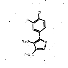 CCOC(=O)c1csc(-c2ccc(Cl)c(Cl)c2)c1OC